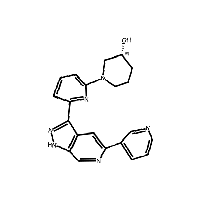 O[C@@H]1CCCN(c2cccc(-c3n[nH]c4cnc(-c5cccnc5)cc34)n2)C1